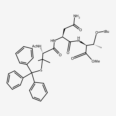 COC(=O)[C@@H](NC(=O)[C@H](CC(N)=O)NC(=O)[C@@H](NC(C)=O)C(C)(C)SC(c1ccccc1)(c1ccccc1)c1ccccc1)[C@@H](C)OC(C)(C)C